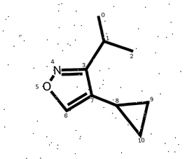 CC(C)c1no[c]c1C1CC1